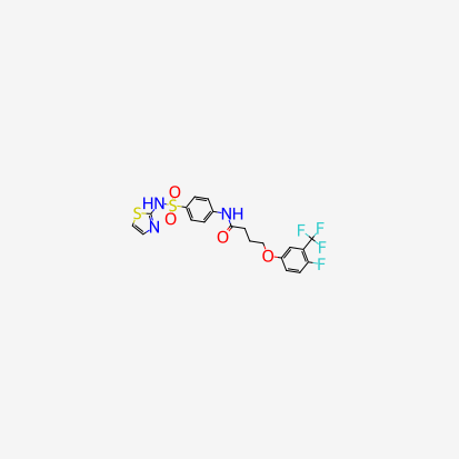 O=C(CCCOc1ccc(F)c(C(F)(F)F)c1)Nc1ccc(S(=O)(=O)Nc2nccs2)cc1